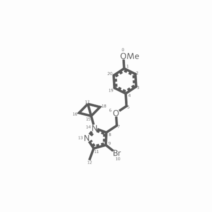 COc1ccc(COCc2c(Br)c(C)nn2C23CC2C3)cc1